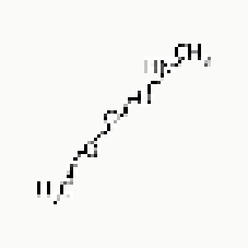 CC#CCOCCOCCOCCNCC